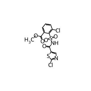 COC(=O)c1cccc(Cl)c1S(=O)(=O)NC(=O)c1cnc(Cl)s1